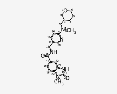 CN(CC1CCCOC1)c1ccc(CNC(=O)c2ccc3c(c2)[nH]c(=O)n3C)cn1